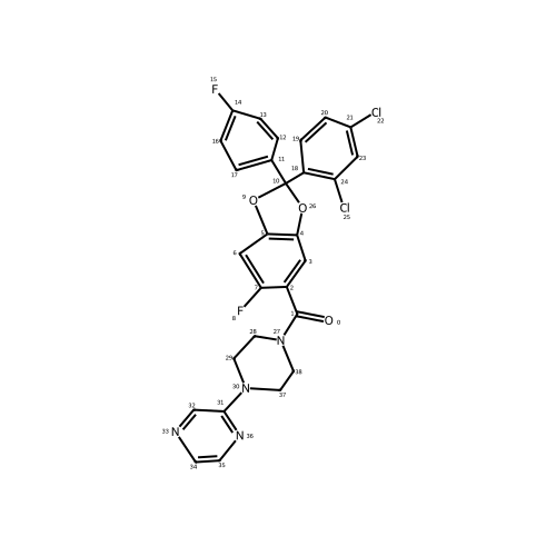 O=C(c1cc2c(cc1F)OC(c1ccc(F)cc1)(c1ccc(Cl)cc1Cl)O2)N1CCN(c2cnccn2)CC1